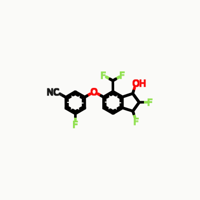 N#Cc1cc(F)cc(Oc2ccc3c(c2C(F)F)C(O)C(F)C3F)c1